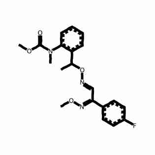 CON=C(C=NOC(C)c1ccccc1N(C)C(=O)OC)c1ccc(F)cc1